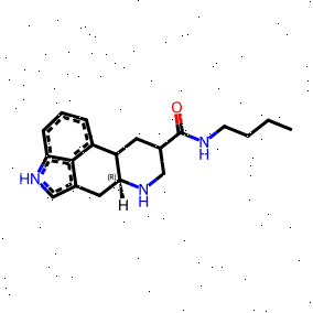 CCCCNC(=O)C1CN[C@@H]2Cc3c[nH]c4cccc(c34)C2C1